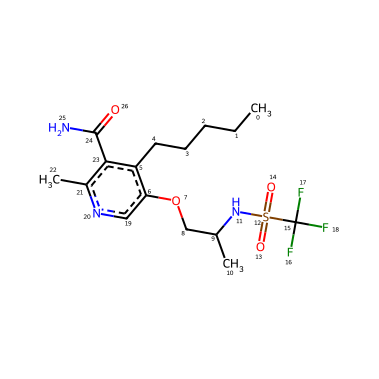 CCCCCc1c(OCC(C)NS(=O)(=O)C(F)(F)F)cnc(C)c1C(N)=O